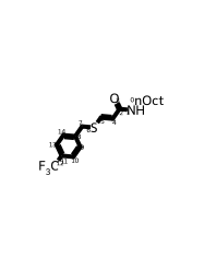 CCCCCCCCNC(=O)C=CSCc1ccc(C(F)(F)F)cc1